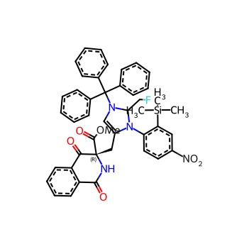 COC(=O)[C@]1(CC2=CN(C(c3ccccc3)(c3ccccc3)c3ccccc3)C(CF)N2c2ccc([N+](=O)[O-])cc2[Si](C)(C)C)NC(=O)c2ccccc2C1=O